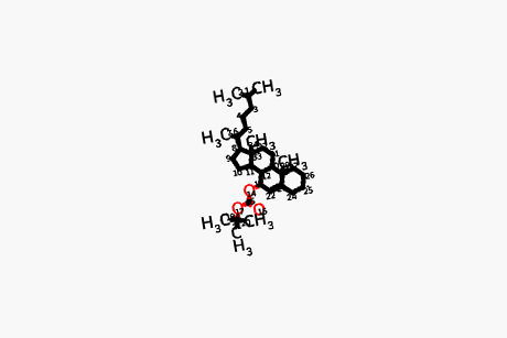 CC(C)CCCC(C)C1CCC2C3C(OC(=O)OC(C)(C)C)C=C4C[CH]CCC4(C)C3CCC12C